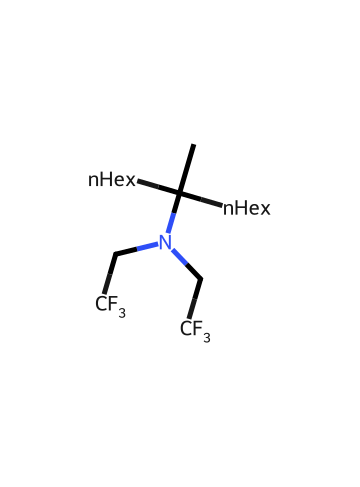 CCCCCCC(C)(CCCCCC)N(CC(F)(F)F)CC(F)(F)F